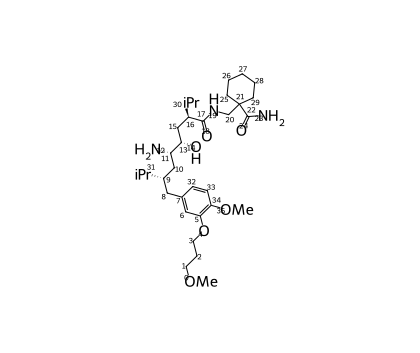 COCCCOc1cc(C[C@@H](C[C@H](N)[C@@H](O)C[C@H](C(=O)NCC2(C(N)=O)CCCCC2)C(C)C)C(C)C)ccc1OC